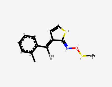 CCCSO/N=C1\SC=C\C1=C(\C#N)c1ccccc1C